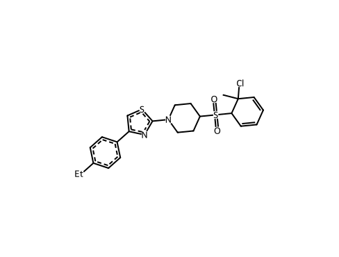 CCc1ccc(-c2csc(N3CCC(S(=O)(=O)C4C=CC=CC4(C)Cl)CC3)n2)cc1